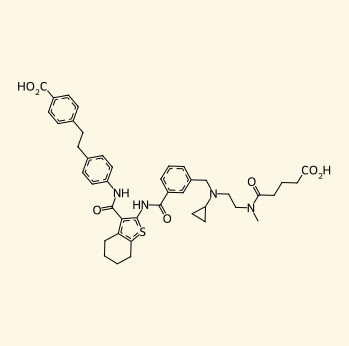 CN(CCN(Cc1cccc(C(=O)Nc2sc3c(c2C(=O)Nc2ccc(CCc4ccc(C(=O)O)cc4)cc2)CCCC3)c1)C1CC1)C(=O)CCCC(=O)O